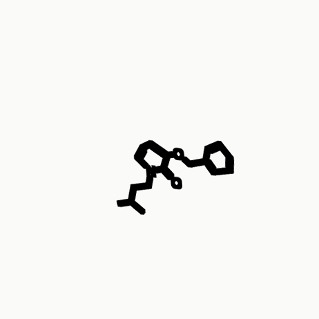 CC(C)CCn1cccc(OCc2ccccc2)c1=O